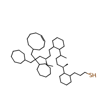 CC[C@H](CCC1CCCCC1C(C)CC[C@@H](C)C1CCCCC1CCCS)CC(CC1CC/C=C\CCCC1)(CC1CCCCCC1)C1CCCCCC1